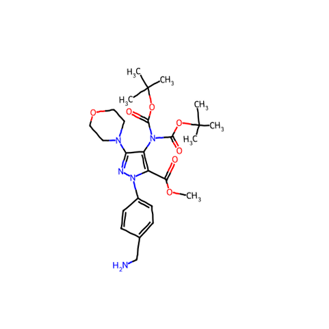 COC(=O)c1c(N(C(=O)OC(C)(C)C)C(=O)OC(C)(C)C)c(N2CCOCC2)nn1-c1ccc(CN)cc1